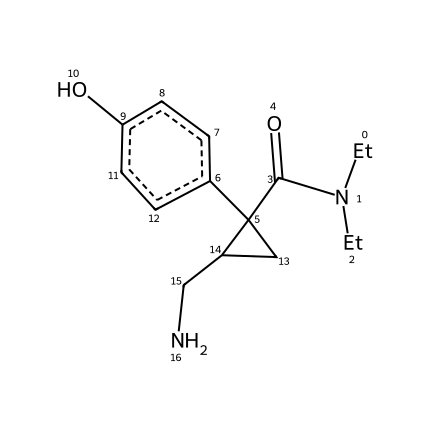 CCN(CC)C(=O)C1(c2ccc(O)cc2)CC1CN